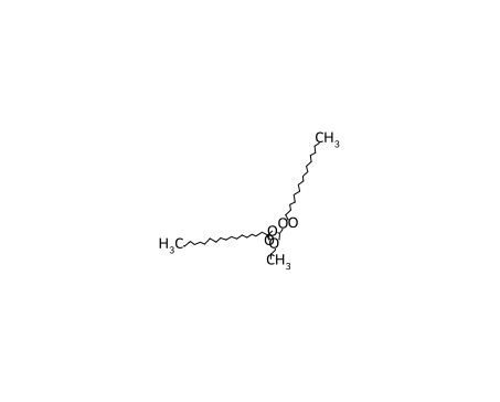 CCCCCCCCCCCCCCCCCC(=O)OCC(COCCC)OC(=O)CCCCCCCCCCCCCCCCC